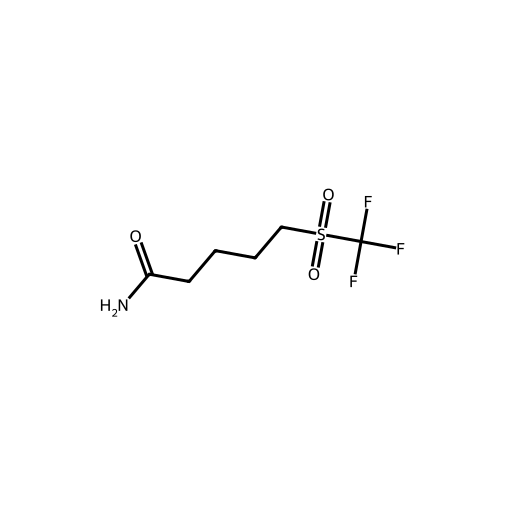 NC(=O)CCCCS(=O)(=O)C(F)(F)F